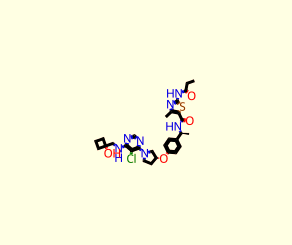 CCC(=O)Nc1nc(C)c(C(=O)N[C@@H](C)c2ccc(O[C@@H]3CCN(c4ncnc(NCC5(O)CCC5)c4Cl)C3)cc2)s1